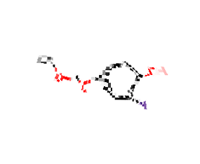 CCOCOc1ccc(O)c(I)c1